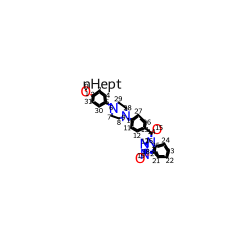 CCCCCCCOc1ccc(N2CCN(c3ccc(C(=O)n4n[n+]([O-])c5ccccc54)cc3)CC2)cc1